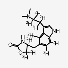 [2H]c1c(C[C@]2([2H])NC(=O)OC2([2H])[2H])c([2H])c2c(C([2H])([2H])C([2H])([2H])N(C)C)c[nH]c2c1[2H]